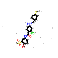 CS(=O)(=O)c1cc(NC(=O)c2ccc(NCc3ccc(SC(F)(F)F)cc3)cc2)ccc1O.Cl